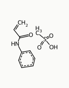 C=CC(=O)Nc1ccccc1.CS(=O)(=O)O